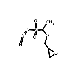 CC(OCC1CO1)S(=O)(=O)N=[N+]=[N-]